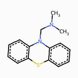 CN(C)CN1c2ccccc2Sc2ccccc21